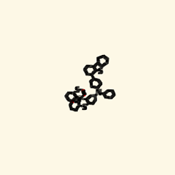 c1ccc(N(c2ccc(-c3cccc4c3sc3ccccc34)cc2)c2ccc3c(c2)[Si]2(c4ccccc4Sc4ccccc42)c2ccccc2S3)cc1